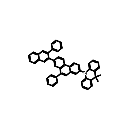 CC1(C)c2ccccc2N(c2ccc3c(c2)cc(-c2ccccc2)c2cc(-c4cc5ccccc5cc4-c4ccccc4)ccc23)c2ccccc21